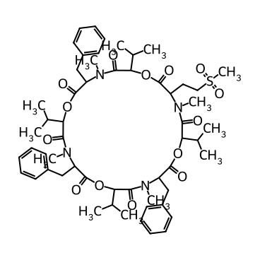 CC(C)C1OC(=O)C(Cc2ccccc2)N(C)C(=O)C(C(C)C)OC(=O)C(Cc2ccccc2)N(C)C(=O)C(C(C)C)OC(=O)C(Cc2ccccc2)N(C)C(=O)C(C(C)C)OC(=O)C(CCS(C)(=O)=O)N(C)C1=O